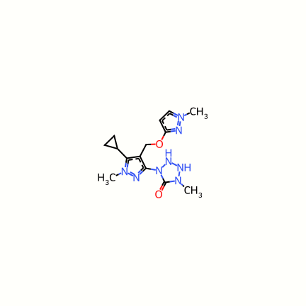 CN1NNN(c2nn(C)c(C3CC3)c2COc2ccn(C)n2)C1=O